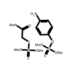 CNC(=O)CSP(=S)(OC)OC.COP(=S)(OC)Oc1ccc([N+](=O)[O-])cc1